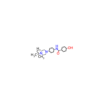 CC(C)(C)N1CCN(c2ccc(NC(=O)c3ccc(O)cc3)cc2)CC1